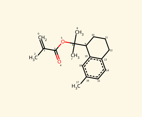 C=C(C)C(=O)OC(C)(C)C1CCCc2ccc(C)cc21